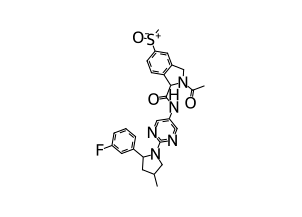 CC(=O)N1Cc2cc([S+](C)[O-])ccc2C1C(=O)Nc1cnc(N2CC(C)CC2c2cccc(F)c2)nc1